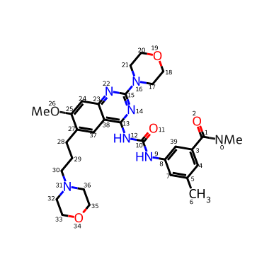 CNC(=O)c1cc(C)cc(NC(=O)Nc2nc(N3CCOCC3)nc3cc(OC)c(CCCN4CCOCC4)cc23)c1